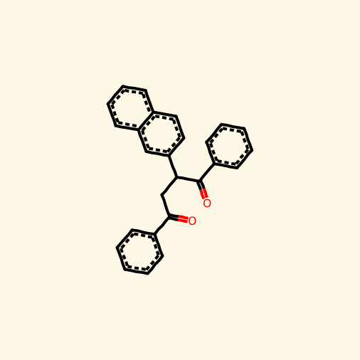 O=C(CC(C(=O)c1ccccc1)c1ccc2ccccc2c1)c1ccccc1